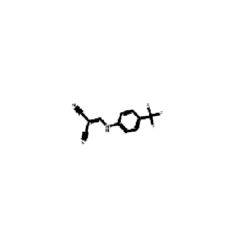 N#CC(C#N)=CNc1ccc(C(F)(F)F)cc1